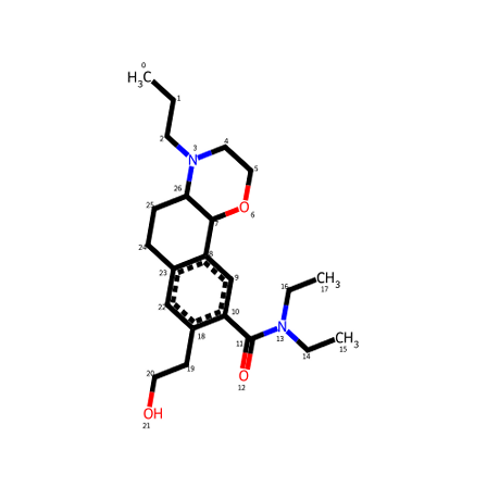 CCCN1CCOC2c3cc(C(=O)N(CC)CC)c(CCO)cc3CCC21